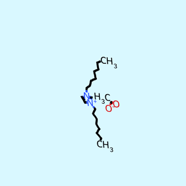 CC(=O)[O-].CCCCCCCCn1cc[n+](CCCCCCCC)c1